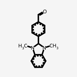 CN1c2ccccc2N(C)C1c1ccc(C=O)cc1